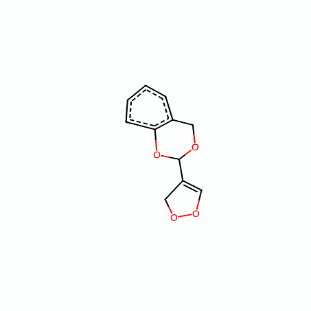 C1=C(C2OCc3ccccc3O2)COO1